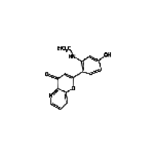 CCOC(=O)Nc1cc(O)ccc1-c1cc(=O)c2ncccc2o1